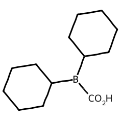 O=C(O)B(C1CCCCC1)C1CCCCC1